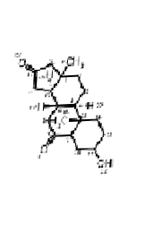 C[C@@]12CC[C@@H]3[C@H](CC(=O)C4CC(O)CC[C@]43C)[C@H]1CC(=O)C2